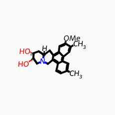 COc1cc2c3c(c4ccc(C)cc4c2cc1C)CN1C[C@@H](O)[C@H](O)C[C@@H]1C3